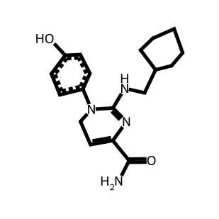 NC(=O)C1=CCN(c2ccc(O)cc2)C(NCC2CCCCC2)=N1